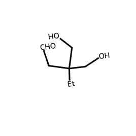 CCC(CO)(CO)CC=O